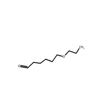 CCCOCCCCC[C]=O